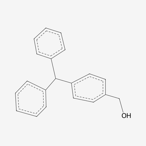 OCc1ccc(C(c2ccccc2)c2ccccc2)cc1